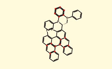 Fc1cccc(P(c2ccccc2)c2ccccc2)c1-c1c(P(c2ccccc2)c2ccccc2)ccc([C@@H](CP(c2ccccc2)c2ccccc2)P(c2ccccc2)c2ccccc2)c1F